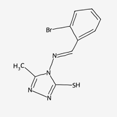 Cc1nnc(S)n1N=Cc1ccccc1Br